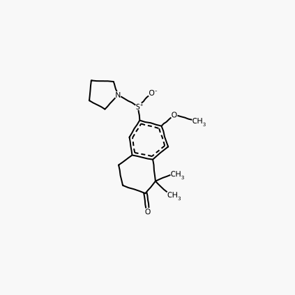 COc1cc2c(cc1[S+]([O-])N1CCCC1)CCC(=O)C2(C)C